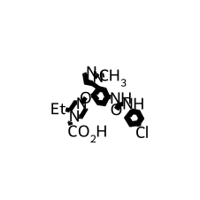 CCC1CN(Oc2ccc(NC(=O)Nc3ccc(Cl)cc3)cc2-c2ccnn2C)CCN1CC(=O)O